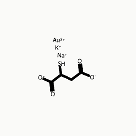 O=C([O-])CC(S)C(=O)[O-].[Au+3].[K+].[Na+]